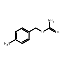 C=C(N)OCc1ccc(N)cc1